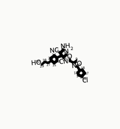 N#Cc1c(N)nc(OCc2coc(-c3ccc(Cl)cc3)n2)c(C#N)c1-c1ccc(CCCO)cc1